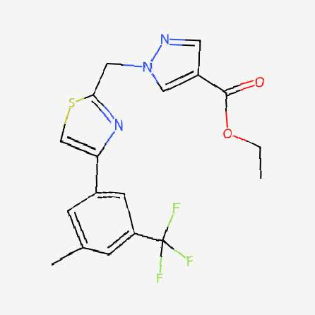 CCOC(=O)c1cnn(Cc2nc(-c3cc(C)cc(C(F)(F)F)c3)cs2)c1